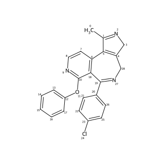 CC1=NCC2=C1c1ccnc(Oc3ccccc3)c1C(c1ccc(Cl)cc1)=NC2